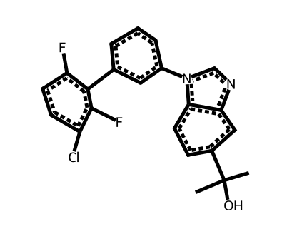 CC(C)(O)c1ccc2c(c1)ncn2-c1cccc(-c2c(F)ccc(Cl)c2F)c1